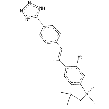 CCc1cc2c(cc1C(C)=Cc1ccc(-c3nnn[nH]3)cc1)C(C)(C)CC2(C)C